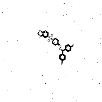 O=S(=O)(c1ccc2c(c1)OCO2)N1CCC(=NOC(c2ccc(F)cc2)c2ccc(F)cc2)CC1